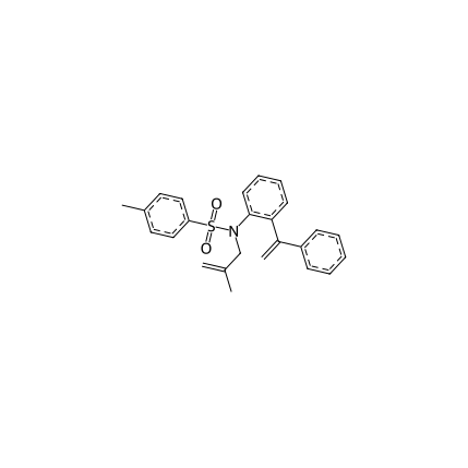 C=C(C)CN(c1ccccc1C(=C)c1ccccc1)S(=O)(=O)c1ccc(C)cc1